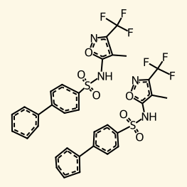 Cc1c(C(F)(F)F)noc1NS(=O)(=O)c1ccc(-c2ccccc2)cc1.Cc1c(C(F)(F)F)noc1NS(=O)(=O)c1ccc(-c2ccccc2)cc1